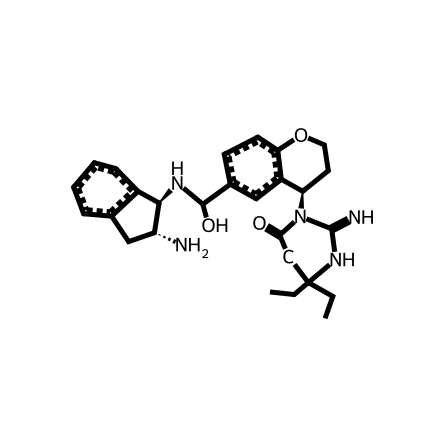 CCC1(CC)CC(=O)N([C@@H]2CCOc3ccc(C(O)N[C@@H]4c5ccccc5C[C@H]4N)cc32)C(=N)N1